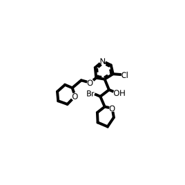 OC(c1c(Cl)cncc1OCC1CCCCO1)C(Br)C1CCCCO1